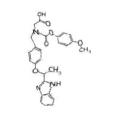 COc1ccc(OC(=O)N(CC(=O)O)Cc2ccc(OC(C)c3nc4ccccc4[nH]3)cc2)cc1